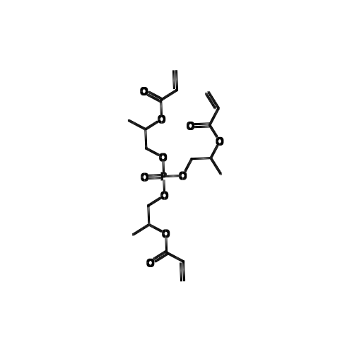 C=CC(=O)OC(C)COP(=O)(OCC(C)OC(=O)C=C)OCC(C)OC(=O)C=C